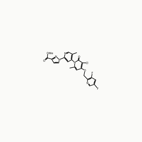 COC(=O)c1ccn(-c2cc(-n3c(C)cc(OCc4ncc(F)cc4F)c(Cl)c3=O)c(C)cn2)n1